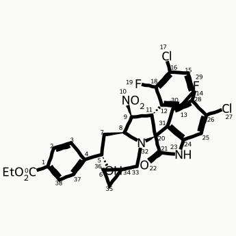 CCOC(=O)c1ccc([C@@H](O)C[C@H]2[C@@H]([N+](=O)[O-])[C@H](c3cccc(Cl)c3F)[C@]3(C(=O)Nc4cc(Cl)c(F)cc43)N2CC2CC2)cc1